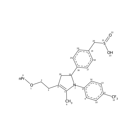 CCCOCCC1=C(C)N(c2ccc(C(F)(F)F)cc2)C(c2ccc(CS(=O)O)cc2)C1